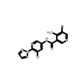 Cc1c(Br)cncc1C(=O)Nc1cnc(-n2nccn2)c(Cl)c1